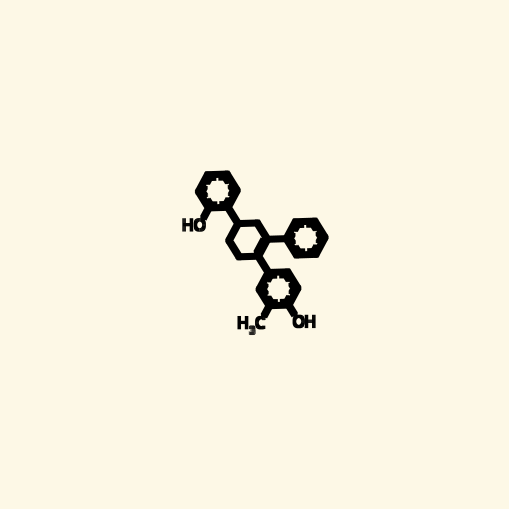 Cc1cc(C2=C(c3ccccc3)CC(c3ccccc3O)CC2)ccc1O